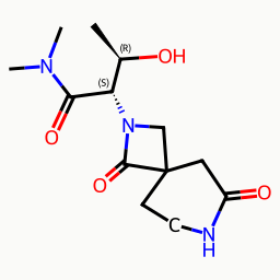 C[C@@H](O)[C@@H](C(=O)N(C)C)N1CC2(CCNC(=O)C2)C1=O